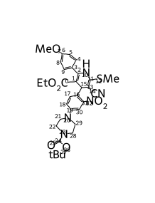 CCOC(=O)C1=C(c2ccc(OC)cc2)NC(SC)=C(C#N)C1c1ccc(N2CCN(C(=O)OC(C)(C)C)CC2)cc1[N+](=O)[O-]